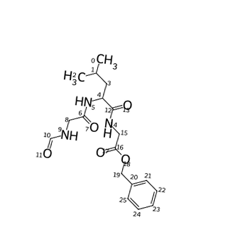 CC(C)CC(NC(=O)CNC=O)C(=O)NCC(=O)OCc1ccccc1